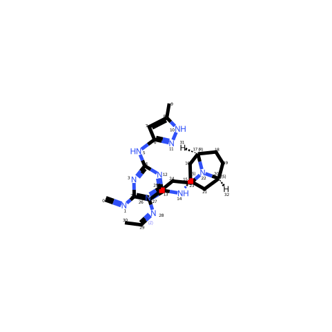 C=Nc1nc(Nc2cc(C)[nH]n2)nc(N[C@@H]2C[C@H]3CC[C@@H](C2)N3CCC#N)c1/N=C\C